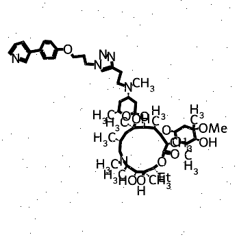 CC[C@H]1OC(=O)[C@H](C)[C@@H](O[C@H]2C[C@@](C)(OC)[C@@H](O)[C@H](C)O2)[C@H](C)[C@@H](O[C@H]2C[C@@H](N(C)CCc3cn(CCCOc4ccc(-c5cccnc5)cc4)nn3)C[C@@H](C)O2)[C@](C)(O)C[C@@H](C)CN(C)[C@H](C)[C@@H](O)[C@]1(C)O